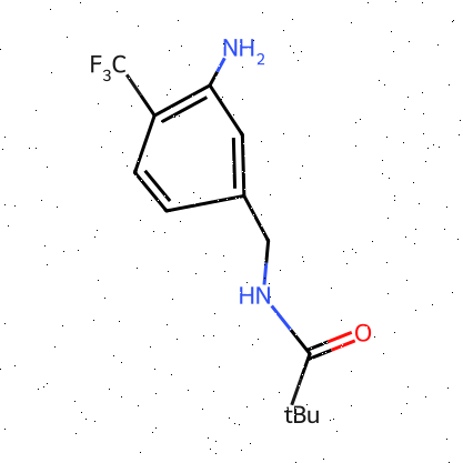 CC(C)(C)C(=O)NCc1ccc(C(F)(F)F)c(N)c1